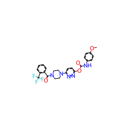 COc1ccc(NC(=O)Oc2ccc(N3CCN(C(=O)c4ccccc4C(F)(F)F)CC3)nn2)cc1